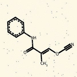 CC(=COC#N)C(=O)Nc1ccccc1